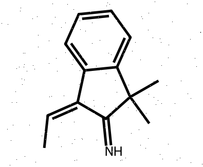 C/C=C1\C(=N)C(C)(C)c2ccccc21